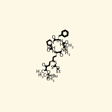 CCOC(=S)S[C@@H](CCC(=O)C(C)O[Si](C)(C)C(C)(C)C)CC[C@@H]1NC(=O)[C@H]2CCCN2C(=O)[C@H](Cc2ccccc2)NC(=O)C(C)(C)NC1=O